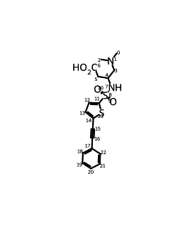 CN(C)CC(CC(=O)O)NS(=O)(=O)c1ccc(C#Cc2ccccc2)s1